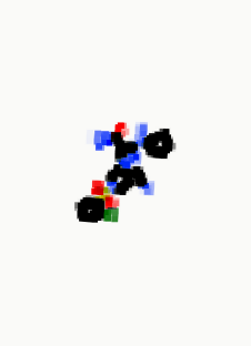 N#CCC1(n2cc(C(N)=O)c(Nc3ccccc3)n2)CCN(S(=O)(=O)c2ccccc2Cl)CC1